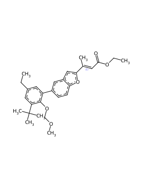 CCOC(=O)/C=C(\C)c1cc2cc(-c3cc(CC)cc(C(C)(C)C)c3OCOC)ccc2o1